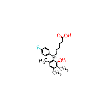 Cc1cc(C)c([C@H](CCCCCC(=O)O)c2ccc(F)cc2)c(O)c1C